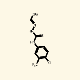 CC(C)(C)/C=N/NC(=S)Nc1ccc(Cl)c(C(F)(F)F)c1